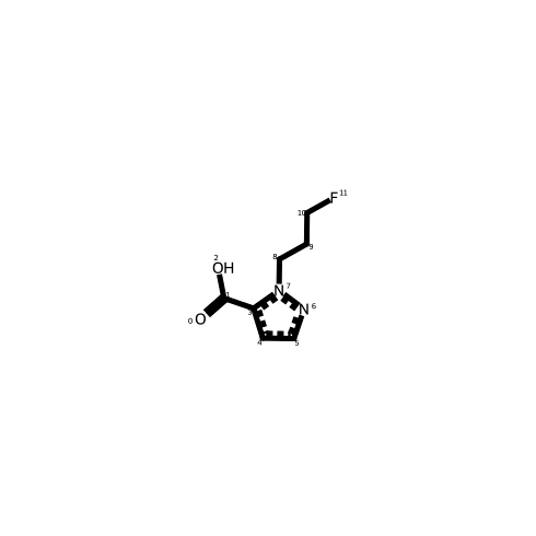 O=C(O)c1ccnn1CCCF